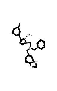 CCCCn1c(CN(Cc2ccccc2)Cc2ccc3c(c2)OCO3)cnc1-c1cccc(F)c1